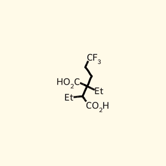 CCC(C(=O)O)C(CC)(CCC(F)(F)F)C(=O)O